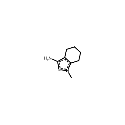 Cn1nc(N)c2c1CCCC2